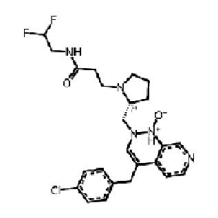 O=C(CCN1CCC[C@@H]1CN1C=C(Cc2ccc(Cl)cc2)c2ccncc2[NH+]1[O-])NCC(F)F